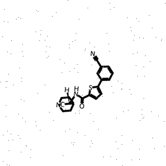 N#Cc1cccc(-c2ccc(C(=O)N[C@H]3CN4CCC3CC4)s2)c1